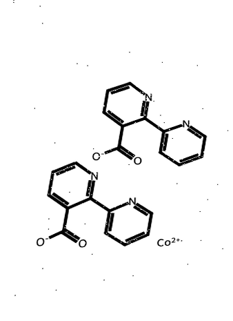 O=C([O-])c1cccnc1-c1ccccn1.O=C([O-])c1cccnc1-c1ccccn1.[Co+2]